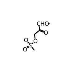 CS(=O)(=O)OCC(=O)[C]=O